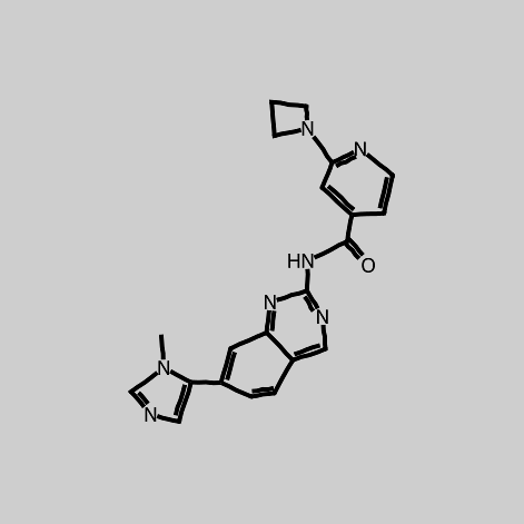 Cn1cncc1-c1ccc2cnc(NC(=O)c3ccnc(N4CCC4)c3)nc2c1